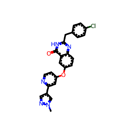 Cn1cc(-c2cc(Oc3ccc4nc(Cc5ccc(Cl)cc5)[nH]c(=O)c4c3)ccn2)cn1